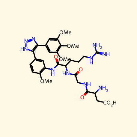 COc1ccc(-c2[nH]nnc2-c2cc(OC)c(OC)c(OC)c2)cc1NC(=O)C(CCCNC(=N)N)NC(=O)CNC(=O)C(N)CC(=O)O